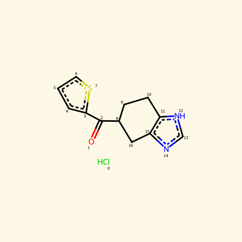 Cl.O=C(c1cccs1)C1CCc2[nH]cnc2C1